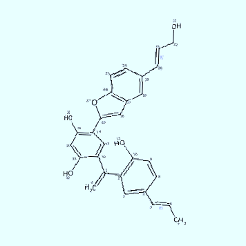 C=C(c1cc(/C=C/C)ccc1O)c1cc(-c2cc3cc(/C=C/CO)ccc3o2)c(O)cc1O